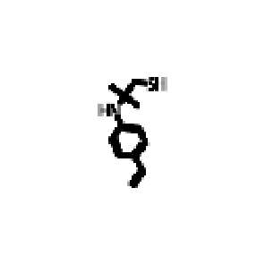 C=Cc1ccc(NC(C)(C)CS)cc1